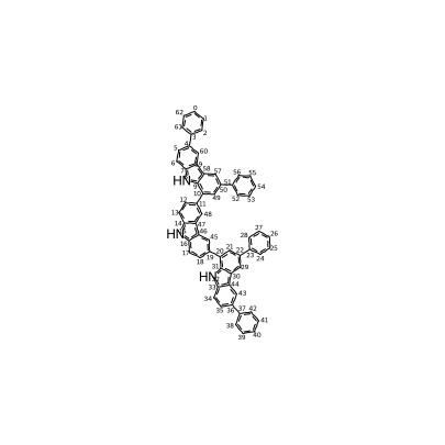 c1ccc(-c2ccc3[nH]c4c(-c5ccc6[nH]c7ccc(-c8cc(-c9ccccc9)cc9c8[nH]c8ccc(-c%10ccccc%10)cc89)cc7c6c5)cc(-c5ccccc5)cc4c3c2)cc1